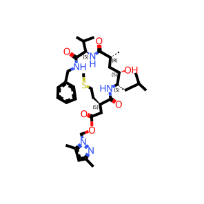 CSCC[C@H](CC(=O)OCn1nc(C)cc1C)C(=O)N[C@@H](CC(C)C)[C@@H](O)C[C@@H](C)C(=O)N[C@H](C(=O)NCc1ccccc1)C(C)C